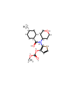 COC(=O)Oc1ccsc1N(C(=O)[C@H]1CC[C@H](C)CC1)C1CCOCC1